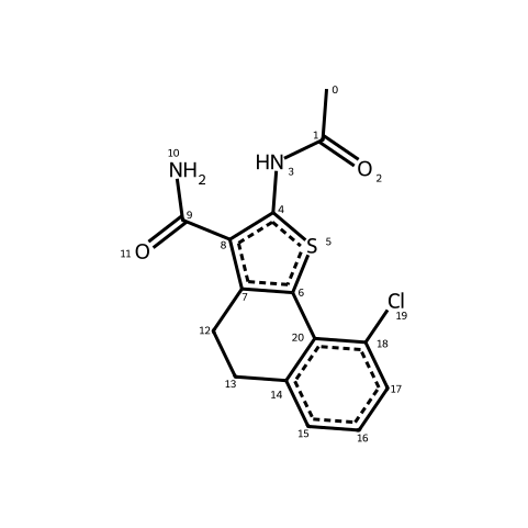 CC(=O)Nc1sc2c(c1C(N)=O)CCc1cccc(Cl)c1-2